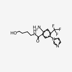 Nc1cc(C(F)(F)F)c(-n2ccnc2)cc1C(=O)NCCCCO